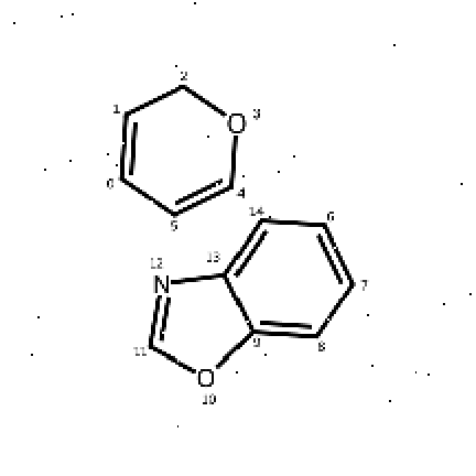 C1=CCOC=C1.c1ccc2ocnc2c1